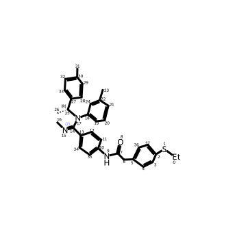 CCSc1ccc(CC(=O)Nc2ccc(/C(=N/C)N(c3cccc(C)c3)[C@H](C)c3ccc(C)cc3)cc2)cc1